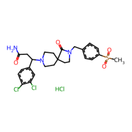 CS(=O)(=O)c1ccc(CN2CCC3(CCN(C(CC(N)=O)c4ccc(Cl)c(Cl)c4)CC3)C2=O)cc1.Cl